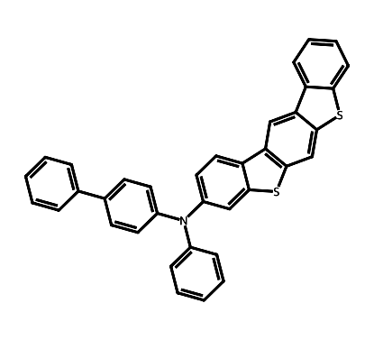 c1ccc(-c2ccc(N(c3ccccc3)c3ccc4c(c3)sc3cc5sc6ccccc6c5cc34)cc2)cc1